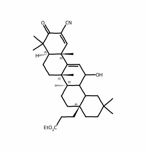 CCOC(=O)CC[C@]12CCC(C)(C)CC1C1C(O)C=C3[C@@]4(C)C=C(C#N)C(=O)C(C)(C)[C@@H]4CC[C@@]3(C)[C@]1(C)CC2